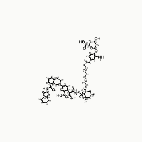 CNc1cc(CN(C)CCOCCOCCOC23CC(C)CC(C)(CC(C)(CN/C(C)=C(\C=N)c4ccc(N5CCc6cccc(C(=O)Nc7nc8c(s7)C=CCC8)c6C5)nc4C(=O)O)C2)C3)ccc1OC1CC(O)CC(C(=O)O)O1